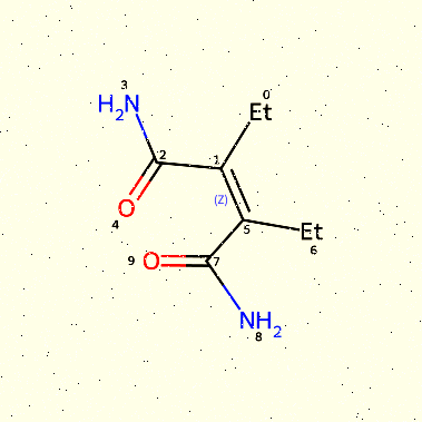 CC/C(C(N)=O)=C(\CC)C(N)=O